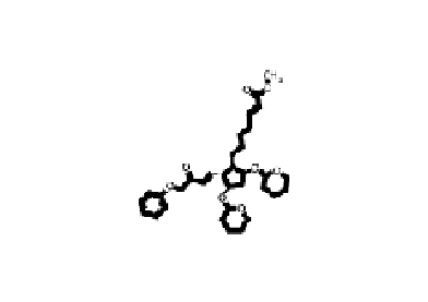 COC(=O)/C=C/CCCC[C@@H]1[C@@H](/C=C/C(=O)COc2ccccc2)[C@H](OC2CCCCO2)C[C@@H]1OC1CCCCO1